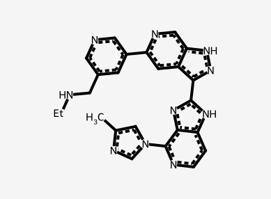 CCNCc1cncc(-c2cc3c(-c4nc5c(-n6cnc(C)c6)nccc5[nH]4)n[nH]c3cn2)c1